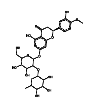 COc1ccc([C@@H]2CC(=O)c3c(O)cc(OC4OC(CO)C(O)C(O)C4OC4CC(C)C(O)C(O)C4O)cc3O2)cc1O